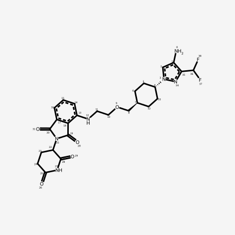 Nc1cn([C@H]2CC[C@H](COCCNc3cccc4c3C(=O)N(C3CCC(=O)NC3=O)C4=O)CC2)nc1C(F)F